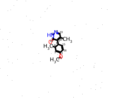 COC1=CC(C)C(c2c(C)cn[nH]c2=O)C=C1